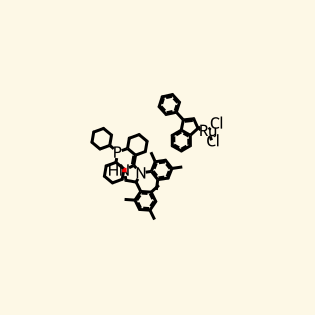 Cc1cc(C)c(C2CNC(=C3CCCCC3P(C3CCCCC3)C3CCCCC3)N2c2c(C)cc(C)cc2C)c(C)c1.[Cl][Ru]([Cl])=[C]1C=C(c2ccccc2)c2ccccc21